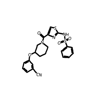 N#Cc1cccc(OC2CCCN(C(=O)c3csc(NS(=O)(=O)c4ccccc4)n3)C2)c1